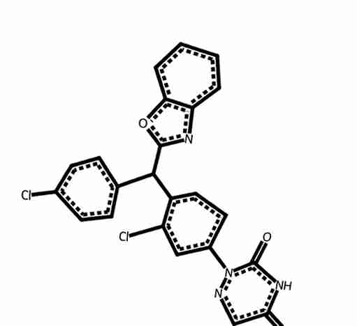 O=c1cnn(-c2ccc(C(c3ccc(Cl)cc3)c3nc4ccccc4o3)c(Cl)c2)c(=O)[nH]1